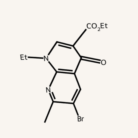 CCOC(=O)c1cn(CC)c2nc(C)c(Br)cc2c1=O